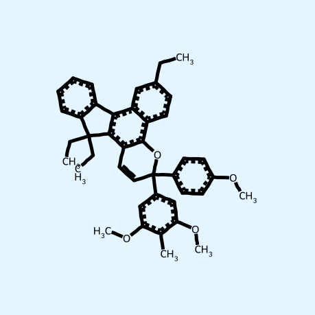 CCc1ccc2c3c(c4c(c2c1)-c1ccccc1C4(CC)CC)C=CC(c1ccc(OC)cc1)(c1cc(OC)c(C)c(OC)c1)O3